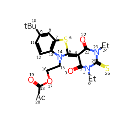 CCN1C(=O)C(=C2Sc3cc(C(C)(C)C)ccc3N2CCOC(=O)C(C)=O)C(=O)N(CC)C1=S